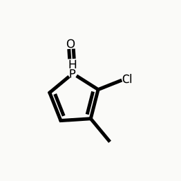 CC1=C(Cl)[PH](=O)C=C1